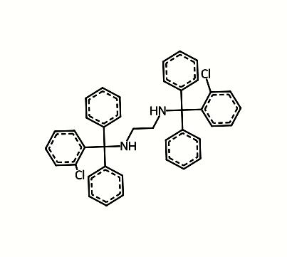 Clc1ccccc1C(NCCNC(c1ccccc1)(c1ccccc1)c1ccccc1Cl)(c1ccccc1)c1ccccc1